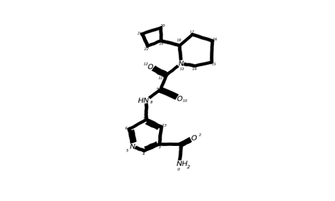 NC(=O)c1cncc(NC(=O)C(=O)N2CCCCC2C2CCC2)c1